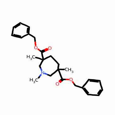 CN1CC(C)(C(=O)OCc2ccccc2)CCC(C)(C(=O)OCc2ccccc2)C1